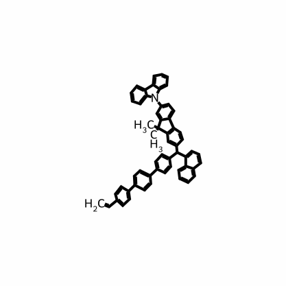 C=Cc1ccc(-c2ccc(-c3ccc(C(c4ccc5c(c4)C(C)(C)c4cc(-n6c7ccccc7c7ccccc76)ccc4-5)c4cccc5ccccc45)cc3)cc2)cc1